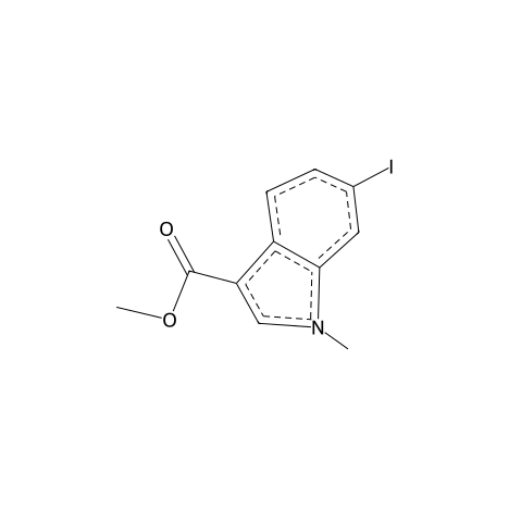 COC(=O)c1cn(C)c2cc(I)ccc12